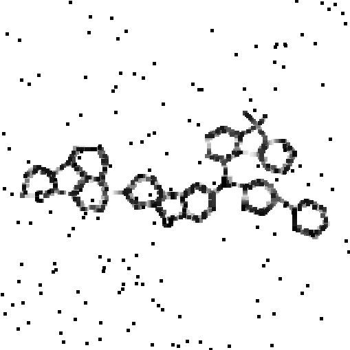 CC1(C)c2ccccc2-c2c(N(c3ccc(-c4ccccc4)cc3)c3ccc4oc5cc(-c6ccc7c8c(cccc68)-c6ccccc6-7)ccc5c4c3)cccc21